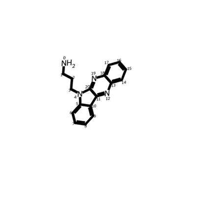 NCCCn1c2ccccc2c2nc3ccccc3nc21